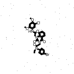 CCN(C(=O)Cn1c(=O)c2ccccc2n(CC(=O)Nc2cc(Cl)c(OC)cc2OC)c1=O)c1ccc(Br)cc1